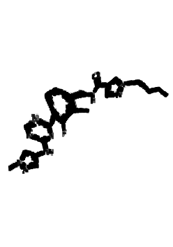 CCCCn1cc(C(=O)NCc2ccc(-c3ncnc(Nc4cnn(C)c4)n3)c(F)c2C)cn1